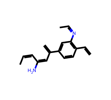 C=Cc1ccc(C(=C)/C=C(N)\C=C/C)cc1/N=C\C